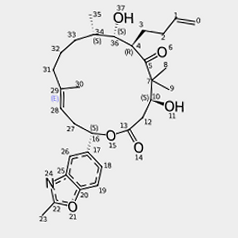 C=CCC[C@H]1C(=O)C(C)(C)[C@@H](O)CC(=O)O[C@H](c2ccc3oc(C)nc3c2)C/C=C(\C)CCC[C@H](C)[C@@H]1O